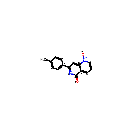 Cc1ccc(C2=NC(=O)C3=CC=C[NH+]([O-])C3=C2)cc1